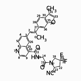 CC(=Cc1ccc2nccc(C(=O)NCC(=O)N3CC(F)(F)CC3C#N)c2c1)c1ccc2c(C)coc2c1